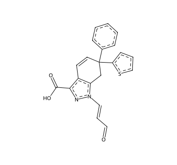 O=CC=Cn1nc(C(=O)O)c2c1CC(c1ccccc1)(c1cccs1)C=C2